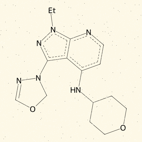 CCn1nc(N2COC=N2)c2c(NC3CCOCC3)ccnc21